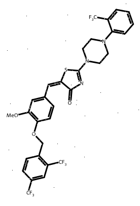 COc1cc(C=C2SC(N3CCN(c4ccccc4C(F)(F)F)CC3)=NC2=O)ccc1OCc1ccc(C(F)(F)F)cc1C(F)(F)F